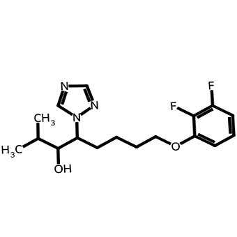 CC(C)C(O)C(CCCCOc1cccc(F)c1F)n1cncn1